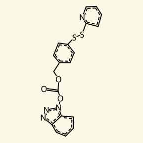 O=C(OCc1ccc(SSc2ccccn2)cc1)On1nnc2ccccc21